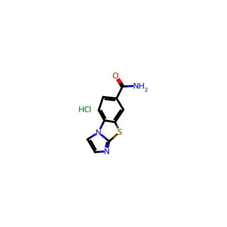 Cl.NC(=O)c1ccc2c(c1)sc1nccn12